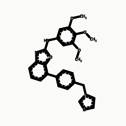 COc1cc(Nc2nc3cccc(-c4ccc(Cn5ccnc5)cc4)c3o2)cc(OC)c1OC